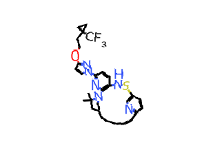 CC1(C)CC2CCCCCc3ccc(cn3)SNc3ccc(-n4ccc(OCCC5(C(F)(F)F)CC5)n4)nc3N1C2